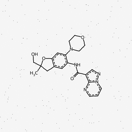 CC1(CO)Cc2cc(NC(=O)c3cnn4cccnc34)c(N3CCOCC3)cc2O1